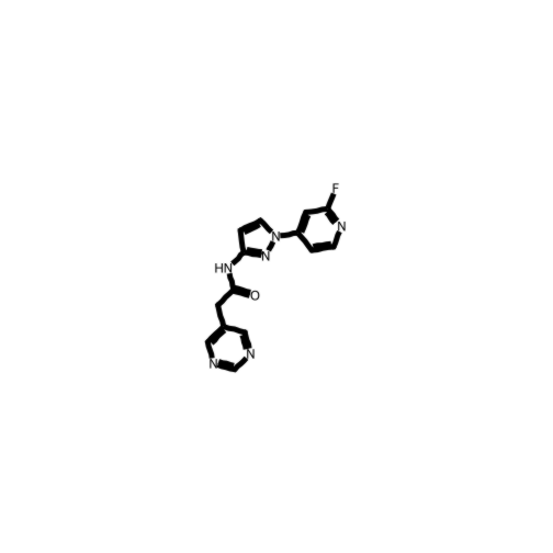 O=C(Cc1cncnc1)Nc1ccn(-c2ccnc(F)c2)n1